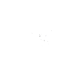 C=CCOC(=O)N1C[C@@H](C(C)(C)C)C[C@]1(O[SiH](C)C)/C(C)=C/CO